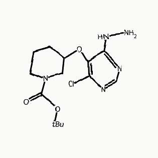 CC(C)(C)OC(=O)N1CCCC(Oc2c(Cl)ncnc2NN)C1